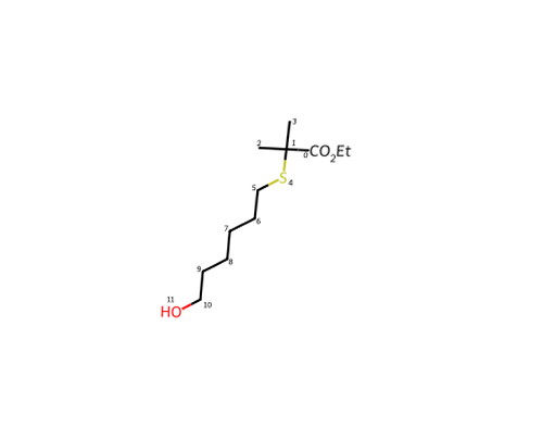 CCOC(=O)C(C)(C)SCCCCCCO